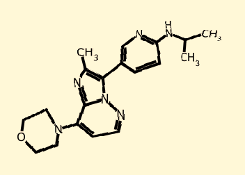 Cc1nc2c(N3CCOCC3)ccnn2c1-c1ccc(NC(C)C)nc1